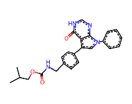 CC(C)COC(=O)NCc1ccc(-c2cn(-c3ccccc3)c3nc[nH]c(=O)c23)cc1